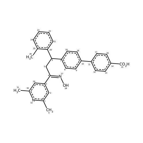 Cc1cc(C(CC(c2ccc(-c3ccc(C(=O)O)cc3)cc2)c2ccccc2C)=NO)cc(C)n1